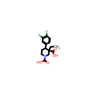 CCC1(C(=O)O)CN(C(=O)O)CCC1c1ccc(F)c(F)c1